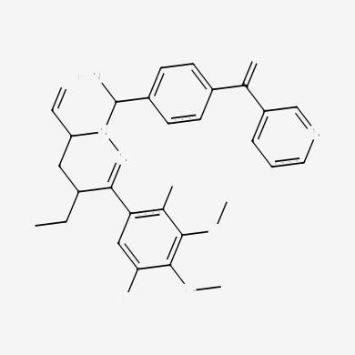 CCC1CC(C=O)N(C(N)c2ccc(C(=O)c3cccnc3)cc2)N=C1c1cc(F)c(OC)c(OC)c1F